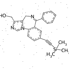 C[Si](C)(C)C#Cc1ccc2c(c1)C(c1ccccc1)=NCc1c(CO)ncn1-2